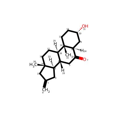 C=C1C[C@@H]2[C@H]3CC(=O)[C@@H]4C[C@@H](O)CC[C@@]4(C)[C@@H]3CC[C@@]2(C)C1